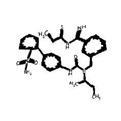 CCC(=S)NC(=N)c1cccc(CN(C(=O)Nc2ccc(-c3ccccc3S(N)(=O)=O)cc2)C(C)CC)c1